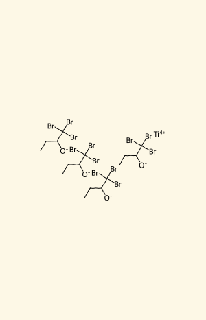 CCC([O-])C(Br)(Br)Br.CCC([O-])C(Br)(Br)Br.CCC([O-])C(Br)(Br)Br.CCC([O-])C(Br)(Br)Br.[Ti+4]